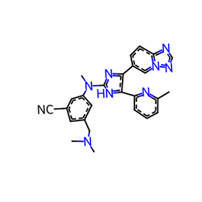 Cc1cccc(-c2[nH]c(N(C)c3cc(C#N)cc(CN(C)C)c3)nc2-c2ccc3ncnn3c2)n1